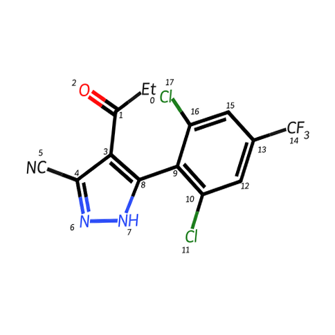 CCC(=O)c1c(C#N)n[nH]c1-c1c(Cl)cc(C(F)(F)F)cc1Cl